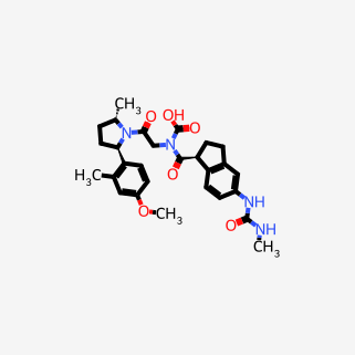 CNC(=O)Nc1ccc2c(c1)CC[C@@H]2C(=O)N(CC(=O)N1[C@@H](c2ccc(OC)cc2C)CC[C@@H]1C)C(=O)O